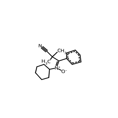 CC(C)(C#N)/C(c1ccccc1)=[N+](/[O-])C1CCCCC1